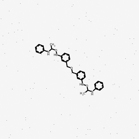 CC(Nc1ccccc1)OBc1cccc(COCc2cccc(BOC(C)Nc3ccccc3)c2)c1